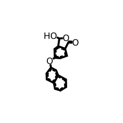 O=C1OC(O)c2cc(Oc3ccc4ccccc4c3)ccc21